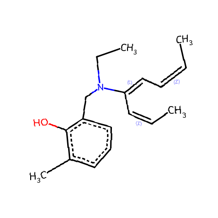 C\C=C/C=C(\C=C/C)N(CC)Cc1cccc(C)c1O